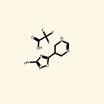 CCCc1noc(C2CN=CNC2)n1.O=C(O)C(F)(F)F